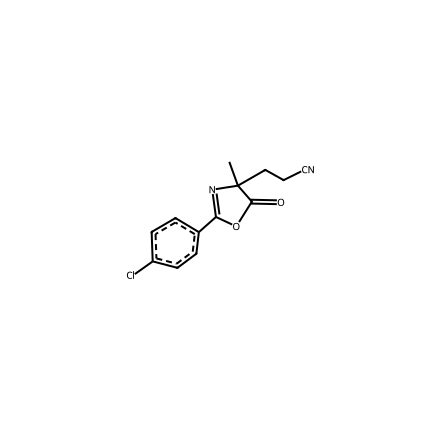 CC1(CCC#N)N=C(c2ccc(Cl)cc2)OC1=O